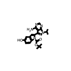 CC(C)n1nc(-c2cc3cc(O)ccc3n2C(=O)OC(C)(C)C)c2c(N)ncnc21